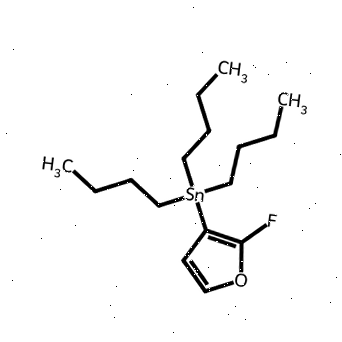 CCC[CH2][Sn]([CH2]CCC)([CH2]CCC)[c]1ccoc1F